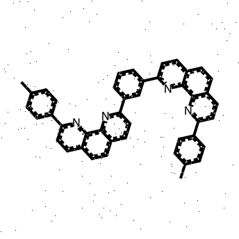 Cc1ccc(-c2ccc3ccc4ccc(-c5cccc(-c6ccc7ccc8ccc(-c9ccc(C)cc9)nc8c7n6)c5)nc4c3n2)cc1